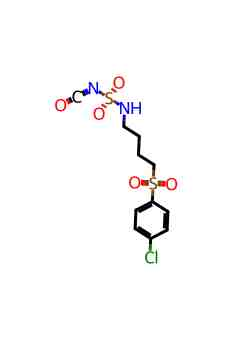 O=C=NS(=O)(=O)NCCCCS(=O)(=O)c1ccc(Cl)cc1